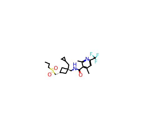 CCCS(=O)(=O)C[C@H]1C[C@@](CNC(=O)c2c(C)cc(C(F)(F)F)nc2C)(CC2CC2)C1